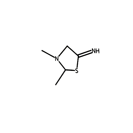 CC1SC(=N)CN1C